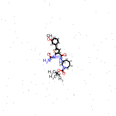 COc1cccc(-c2cc(C(=O)N[C@H]3CCCCN(C(=O)OC(C)(C)C)C3)c(NC(N)=O)s2)c1